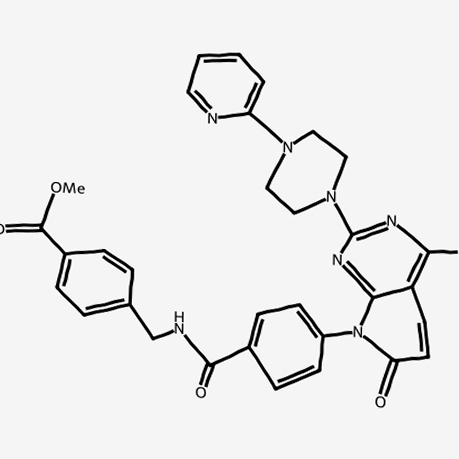 COC(=O)c1ccc(CNC(=O)c2ccc(-n3c(=O)ccc4c(C)nc(N5CCN(c6ccccn6)CC5)nc43)cc2)cc1